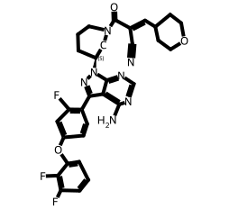 N#CC(=CC1CCOCC1)C(=O)N1CCC[C@H](n2nc(-c3ccc(Oc4cccc(F)c4F)cc3F)c3c(N)ncnc32)C1